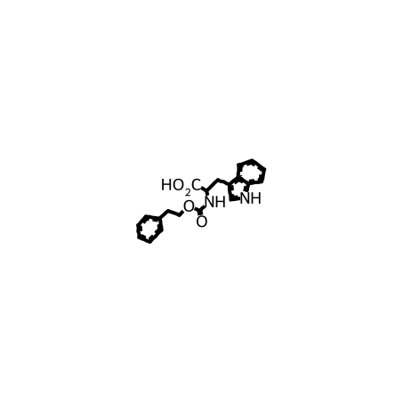 O=C(NC(Cc1c[nH]c2ccccc12)C(=O)O)OCCc1ccccc1